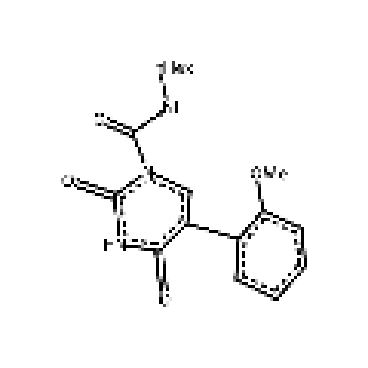 CCCCCCNC(=O)n1cc(-c2ccccc2OC)c(=O)[nH]c1=O